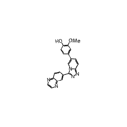 COc1cc(-c2ccc3nnc(-c4ccc5nccnc5c4)n3c2)ccc1O